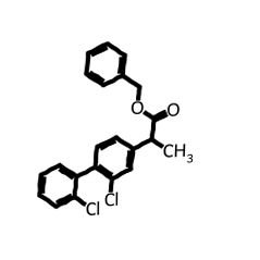 CC(C(=O)OCc1ccccc1)c1ccc(-c2ccccc2Cl)c(Cl)c1